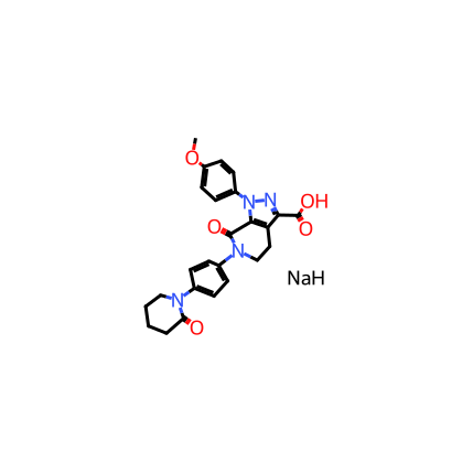 COc1ccc(-n2nc(C(=O)O)c3c2C(=O)N(c2ccc(N4CCCCC4=O)cc2)CC3)cc1.[NaH]